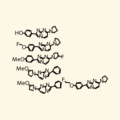 CO[C@@H]1CCN(c2ccn3cc(-c4ccccc4)nc3n2)C1.CO[C@H]1CCN(c2ccn3cc(-c4ccccc4)nc3n2)C1.COc1ccc(-c2cn3ccc(N4CC[C@@H](F)C4)nc3n2)cc1.FCCOc1ccc(-c2cn3ccc(N4CCCC4)nc3n2)cc1.FCOc1ccc(-c2cn3ccc(N4CCCC4)nc3n2)cc1.Oc1ccc(-c2cn3ccc(N4CCCC4)nc3n2)cc1